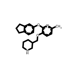 Cc1ccc(OCC2CCCNC2)c(Oc2ccc3c(c2)CCC3)n1